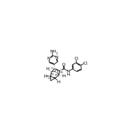 Nc1ncc([C@H]2[C@H]3O[C@H]([C@@H]4C[C@@H]43)[C@@H]2C(=O)Nc2ccc(Cl)c(Cl)c2)cn1